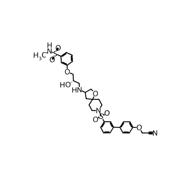 CNS(=O)(=O)c1cccc(OC[C@@H](O)CNC2COC3(CCN(S(=O)(=O)c4cccc(-c5ccc(OCC#N)cc5)c4)CC3)C2)c1